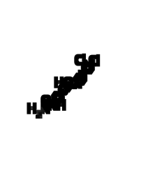 NC(=O)Nc1ccc(OC[C@@H](O)CN2CCN(c3ccc(Cl)c(Cl)c3)CC2)cc1